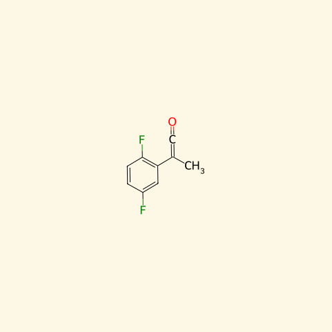 CC(=C=O)c1cc(F)ccc1F